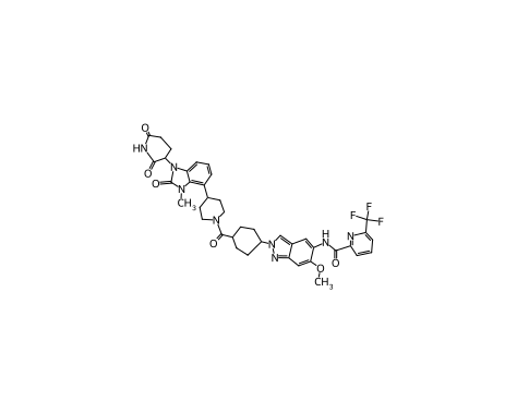 COc1cc2nn(C3CCC(C(=O)N4CCC(c5cccc6c5n(C)c(=O)n6C5CCC(=O)NC5=O)CC4)CC3)cc2cc1NC(=O)c1cccc(C(F)(F)F)n1